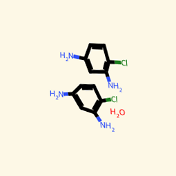 Nc1ccc(Cl)c(N)c1.Nc1ccc(Cl)c(N)c1.O